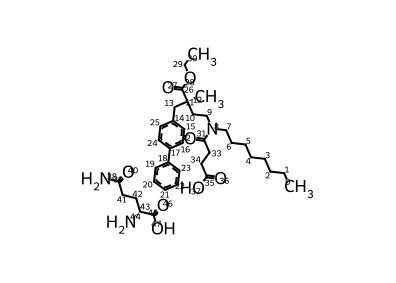 CCCCCCCCN(CC[C@@](C)(Cc1ccc(-c2ccccc2)cc1)C(=O)OCC)C(=O)CCC(=O)O.NC(=O)CC[C@@H](N)C(=O)O